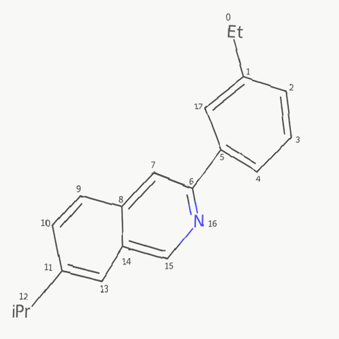 CCc1cccc(-c2cc3ccc(C(C)C)cc3cn2)c1